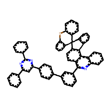 c1ccc(-c2cc(-c3ccc(-c4cccc(-c5nc6ccccc6c6c7c(ccc56)C5(c6ccccc6Sc6ccccc65)c5ccccc5-7)c4)cc3)nc(-c3ccccc3)n2)cc1